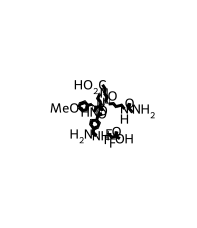 COc1ccc(C[C@H](NC(=O)c2ccc(C(=N)N)cc2)C(=O)N2CCN(CC(=O)O)C(=O)[C@@H]2CCCCNC(=O)CN)cc1.O=C(O)C(F)(F)F